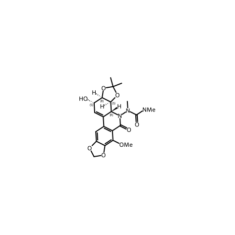 CNC(=O)N(C)N1C(=O)c2c(cc3c(c2OC)OCO3)C2=C[C@H](O)[C@H]3OC(C)(C)O[C@H]3[C@@H]21